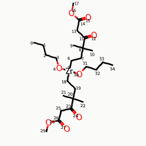 CCCC[O][Zr]([CH2]CC(C)(C)C(=O)CC(=O)OC)([CH2]CC(C)(C)C(=O)CC(=O)OC)[O]CCCC